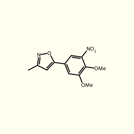 COc1cc(-c2cc(C)no2)cc([N+](=O)[O-])c1OC